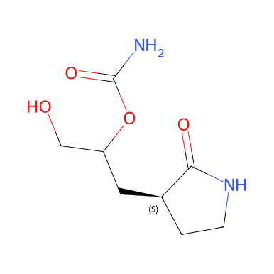 NC(=O)OC(CO)C[C@@H]1CCNC1=O